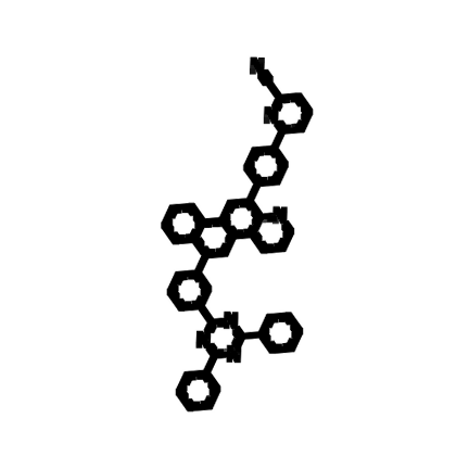 N#Cc1cccc(-c2ccc(-c3cc4c5ccccc5c(-c5cccc(-c6nc(-c7ccccc7)nc(-c7ccccc7)n6)c5)cc4c4cccnc34)cc2)n1